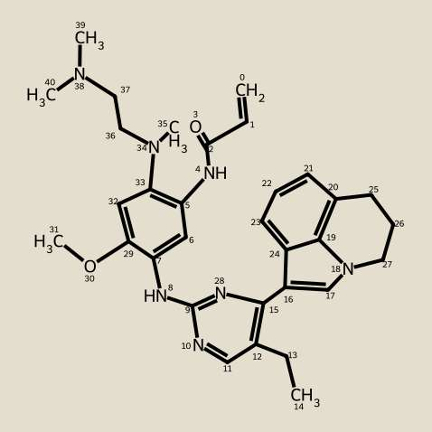 C=CC(=O)Nc1cc(Nc2ncc(CC)c(-c3cn4c5c(cccc35)CCC4)n2)c(OC)cc1N(C)CCN(C)C